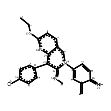 C=C1C=C(n2cc3ccc(SCC)nc3c(-c3ccc(Cl)cc3)/c2=N/C)C=CC1=N